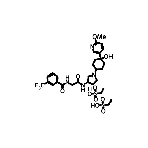 CCS(=O)(=O)O.CCS(=O)(=O)O.COc1ccc(C2(O)CCC(N3CC[C@@H](NC(=O)CNC(=O)c4cccc(C(F)(F)F)c4)C3)CC2)cn1